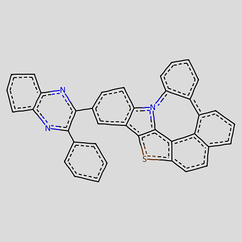 c1ccc(-c2nc3ccccc3nc2-c2ccc3c(c2)c2sc4ccc5cccc6c7ccccc7n3c2c4c56)cc1